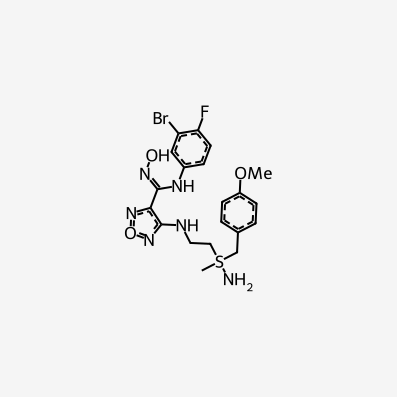 COc1ccc(CS(C)(N)CCNc2nonc2/C(=N/O)Nc2ccc(F)c(Br)c2)cc1